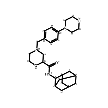 O=C(NC1C2CC3CC(C2)CC1C3)C1CN(Cc2ccc(N3CCOCC3)cc2)CCO1